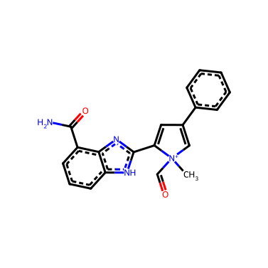 C[N+]1(C=O)C=C(c2ccccc2)C=C1c1nc2c(C(N)=O)cccc2[nH]1